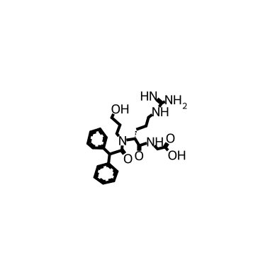 N=C(N)NCCC[C@H](C(=O)NCC(=O)O)N(CCCO)C(=O)C(c1ccccc1)c1ccccc1